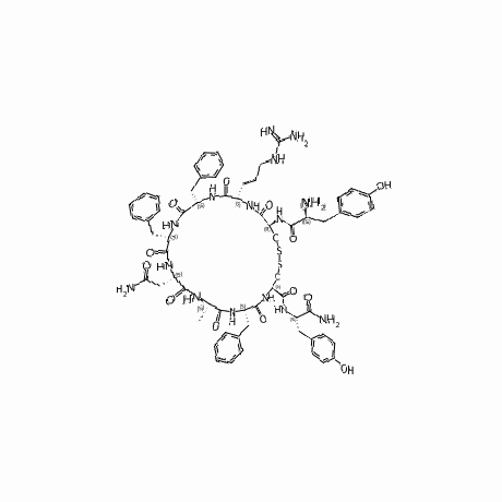 C[C@@H]1NC(=O)[C@H](CC(N)=O)NC(=O)[C@H](Cc2ccccc2)NC(=O)[C@H](Cc2ccccc2)NC(=O)[C@H](CCCNC(=N)N)NC(=O)[C@@H](NC(=O)[C@@H](N)Cc2ccc(O)cc2)CSSC[C@@H](C(=O)N[C@@H](Cc2ccc(O)cc2)C(N)=O)NC(=O)[C@H](Cc2ccccc2)NC1=O